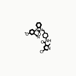 COc1ccc(-n2c(=O)n(CC3CCC(NC(=O)c4cc(Cl)cnc4C)CC3)c3ccccc32)c(C#N)c1